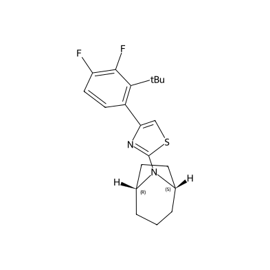 CC(C)(C)c1c(-c2csc(N3[C@@H]4CCC[C@H]3CC4)n2)ccc(F)c1F